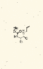 C=CCNC(=O)[C@H](CC)NC(=O)OC(C)(C)C